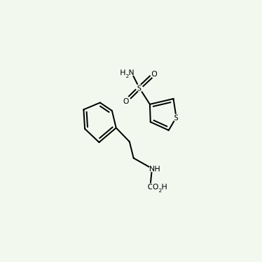 NS(=O)(=O)c1ccsc1.O=C(O)NCCc1ccccc1